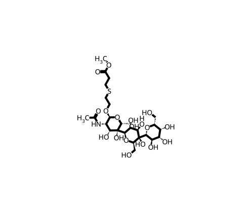 COC(=O)CCSCCO[C@H]1O[C@H](CO)[C@@](O)([C@@H]2O[C@H](CO)[C@@](O)([C@@H]3O[C@H](CO)[C@H](O)[C@H](O)[C@H]3O)[C@H](O)[C@H]2O)[C@H](O)[C@@H]1NC(C)=O